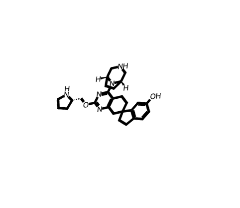 Oc1ccc2c(c1)C1(CC2)CCc2c(nc(OC[C@@H]3CCCN3)nc2N2[C@@H]3CC[C@H]2CNC3)C1